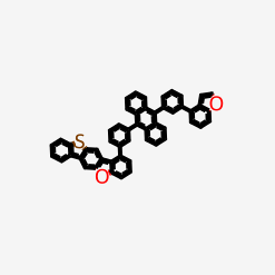 c1cc(-c2cccc3occc23)cc(-c2c3ccccc3c(-c3cccc(-c4cccc5oc6cc7c(cc6c45)sc4ccccc47)c3)c3ccccc23)c1